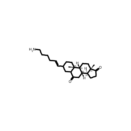 C[C@]12CCC(C=CCCCCN)CC1C(=O)C[C@@H]1[C@H]2CC[C@]2(C)C(=O)CC[C@@H]12